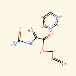 C=CCOC(=O)C(=C)NC(N)=O.c1cncnc1